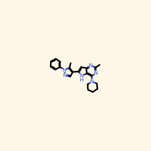 Cc1nc(N2CCCCC2)c2[nH]c(-c3cnn(-c4ccccc4)c3C)cc2n1